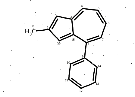 Cc1cc2ccccc(-c3ccccc3)c-2c1